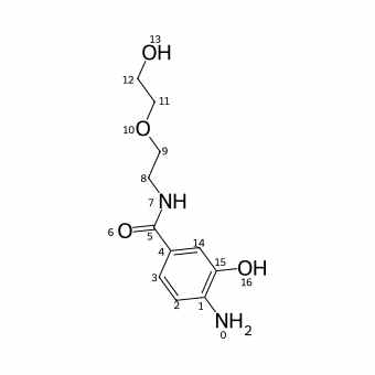 Nc1ccc(C(=O)NCCOCCO)cc1O